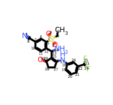 CCS(=O)(=O)c1cc(C#N)ccc1C(N)C1=C(Nc2cccc(C(F)F)c2)CCC1=O